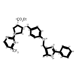 CCOC(=O)[C@H]1CN(c2nccc(C(F)(F)F)n2)C[C@H]1Cc1ccc(OCc2nc(-c3ccccc3)oc2C)cc1